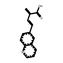 C=C(/C=C/c1ccc2ncccc2c1)C(=O)O